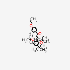 C=CCOc1ccc(C(=O)C=Cc2c(OC(C)(C)C)ccc(C(C)(C)C)c2OC(C)(C)C)cc1